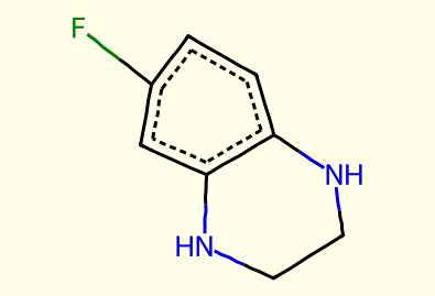 Fc1ccc2c(c1)NCCN2